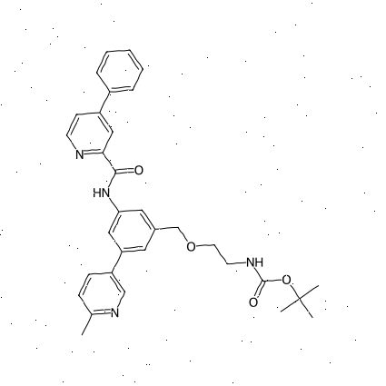 Cc1ccc(-c2cc(COCCNC(=O)OC(C)(C)C)cc(NC(=O)c3cc(-c4ccccc4)ccn3)c2)cn1